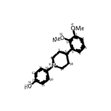 COc1cccc(C2CCN(c3ccc(O)cc3)CC2)c1OC